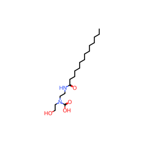 CCCCCCCCCCCCCC(=O)NCCN(CCO)C(=O)O